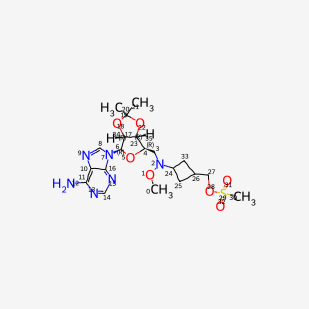 CON(C[C@H]1O[C@@H](n2cnc3c(N)ncnc32)[C@@H]2OC(C)(C)O[C@@H]21)C1CC(COS(C)(=O)=O)C1